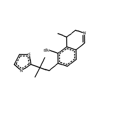 CC1CN=Cc2ccc(CC(C)(C)c3nccs3)c(C(C)(C)C)c21